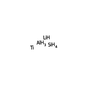 [AlH3].[LiH].[SiH4].[Ti]